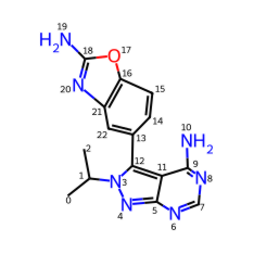 CC(C)n1nc2ncnc(N)c2c1-c1ccc2oc(N)nc2c1